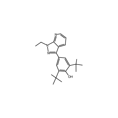 CCn1nc(-c2cc(C(C)(C)C)c(O)c(C(C)(C)C)c2)c2cccnc21